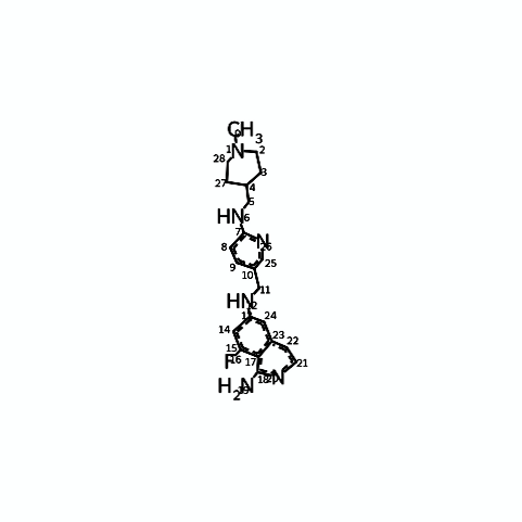 CN1CCC(CNc2ccc(CNc3cc(F)c4c(N)nccc4c3)cn2)CC1